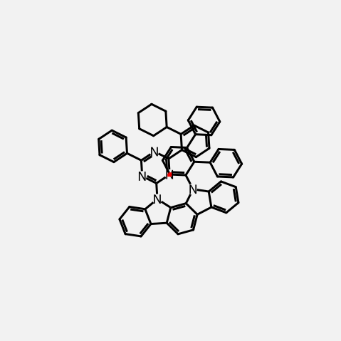 c1ccc(-c2nc(-c3ccccc3C3CCCCC3)nc(-n3c4ccccc4c4ccc5c6ccccc6n(-c6cccc(-c7ccccc7)c6-c6ccccc6)c5c43)n2)cc1